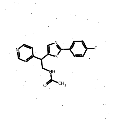 CC(=O)NCC(c1ccncc1)c1cnc(-c2ccc(F)cc2)s1